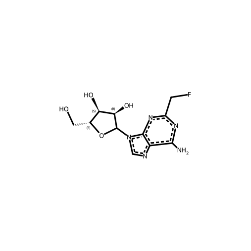 Nc1nc(CF)nc2c1ncn2C1O[C@H](CO)[C@@H](O)[C@H]1O